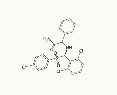 NC(=O)C(N[C@@H](c1c(Cl)cccc1Cl)S(=O)(=O)c1ccc(Cl)cc1)c1ccccc1